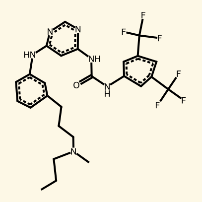 CCCN(C)CCCc1cccc(Nc2cc(NC(=O)Nc3cc(C(F)(F)F)cc(C(F)(F)F)c3)ncn2)c1